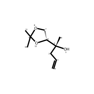 C=CC[C@@](C)(O)[C@H]1COC(C)(C)O1